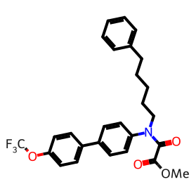 COC(=O)C(=O)N(CCCCCc1ccccc1)c1ccc(-c2ccc(OC(F)(F)F)cc2)cc1